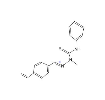 C=Cc1ccc(/C=N/N(C)C(=S)Nc2ccccc2)cc1